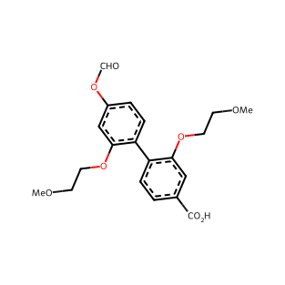 COCCOc1cc(OC=O)ccc1-c1ccc(C(=O)O)cc1OCCOC